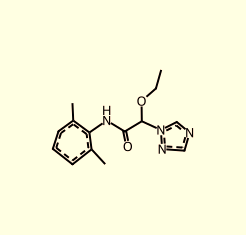 CCOC(C(=O)Nc1c(C)cccc1C)n1cncn1